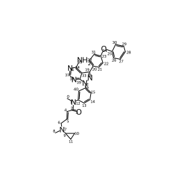 CN(C(=O)/C=C/CN(C)C1CC1)c1cccc(-n2nc(-c3ccc(Oc4ccccc4)cc3)c3c(N)ncnc32)c1